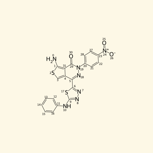 Nc1scc2c(-c3nnc(Nc4ccccc4)s3)nn(-c3ccc([N+](=O)[O-])cc3)c(=O)c12